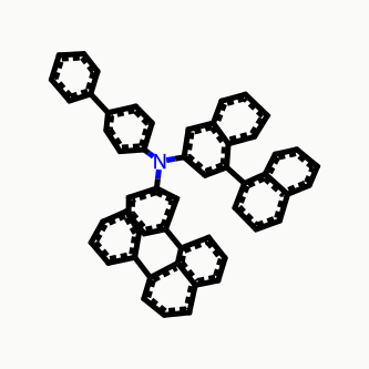 c1ccc(-c2ccc(N(c3cccc(-c4cccc5cccc(-c6ccccc6)c45)c3)c3cc(-c4cccc5ccccc45)c4ccccc4c3)cc2)cc1